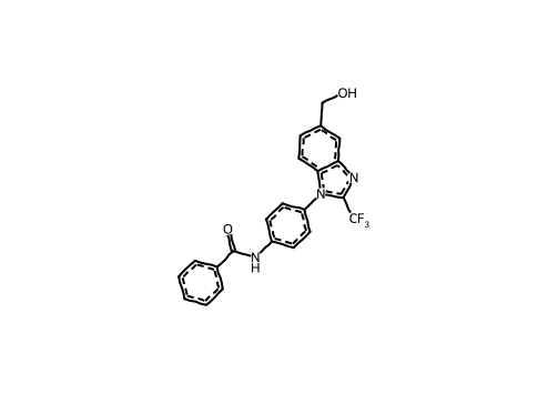 O=C(Nc1ccc(-n2c(C(F)(F)F)nc3cc(CO)ccc32)cc1)c1ccccc1